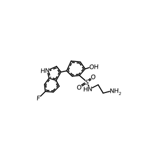 NCCNS(=O)(=O)c1cc(-c2c[nH]c3cc(F)ccc23)ccc1O